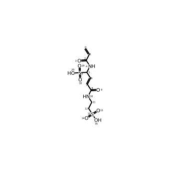 C=CC(=O)NC(C=CC(=O)NCCS(=O)(=O)O)S(=O)(=O)O